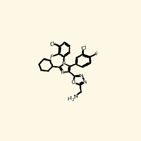 NCc1nnc(-c2nc(C3CCCCC3)n(-c3cccc(Cl)c3F)c2-c2ccc(F)c(Cl)c2)o1